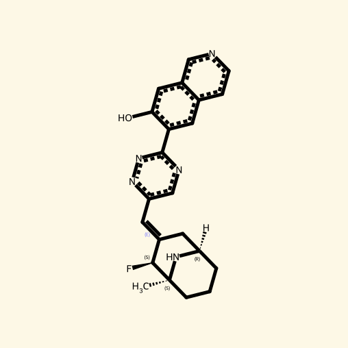 C[C@]12CCC[C@H](C/C(=C\c3cnc(-c4cc5ccncc5cc4O)nn3)[C@@H]1F)N2